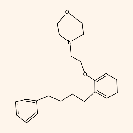 c1ccc(CCCCc2ccccc2OCCN2CCOCC2)cc1